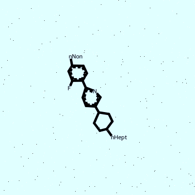 CCCCCCCCCc1ccc(-c2ccc(C3CCC(CCCCCCC)CC3)cn2)c(F)c1